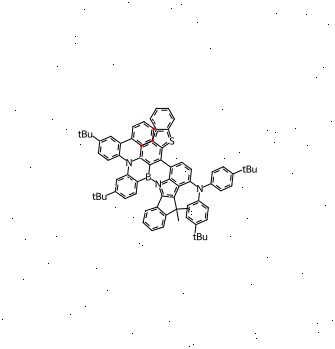 CC(C)(C)c1ccc(N(c2ccc(C(C)(C)C)cc2)c2ccc3c4c2c2c(n4B4c5ccc(C(C)(C)C)cc5N(c5ccc(C(C)(C)C)cc5-c5ccccc5)c5cc6c(sc7ccccc76)c-3c54)-c3ccccc3C2(C)C)cc1